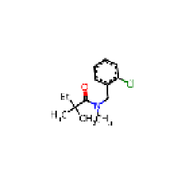 CCC(C)(C)C(=O)N(C)Cc1ccccc1Cl